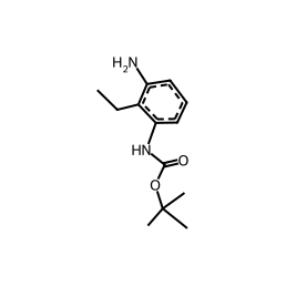 CCc1c(N)cccc1NC(=O)OC(C)(C)C